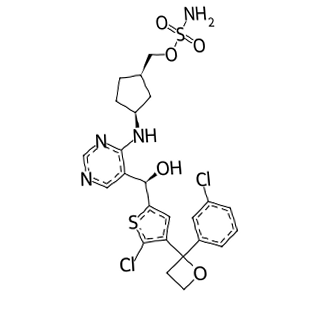 NS(=O)(=O)OC[C@@H]1CC[C@H](Nc2ncncc2[C@@H](O)c2cc(C3(c4cccc(Cl)c4)CCO3)c(Cl)s2)C1